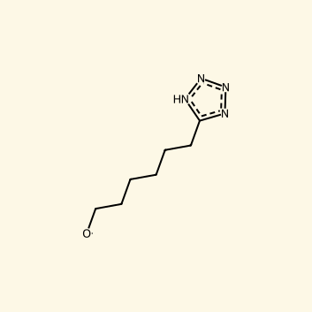 [O]CCCCCCc1nnn[nH]1